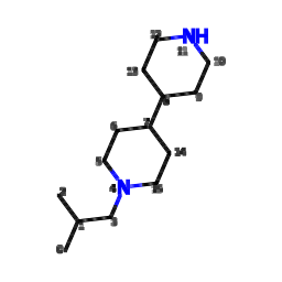 CC(C)CN1CCC(C2CCNCC2)CC1